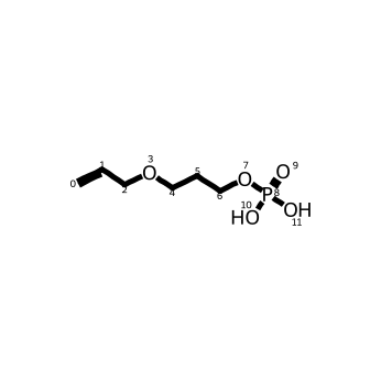 C=CCOCCCOP(=O)(O)O